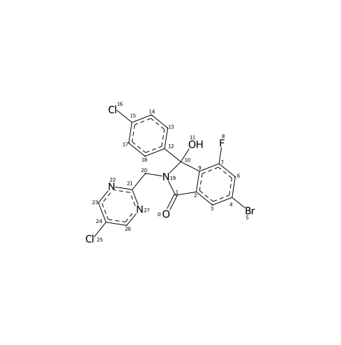 O=C1c2cc(Br)cc(F)c2C(O)(c2ccc(Cl)cc2)N1Cc1ncc(Cl)cn1